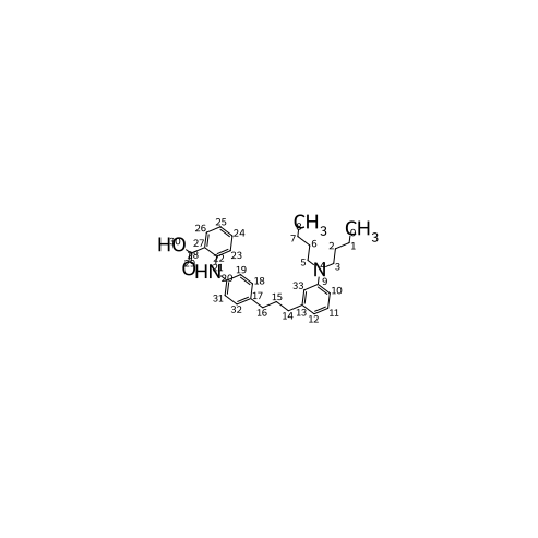 CCCCN(CCCC)c1cccc(CCCc2ccc(Nc3ccccc3C(=O)O)cc2)c1